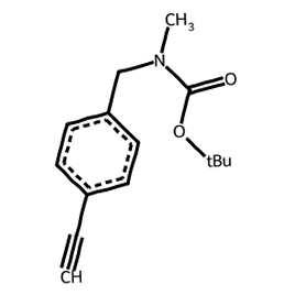 C#Cc1ccc(CN(C)C(=O)OC(C)(C)C)cc1